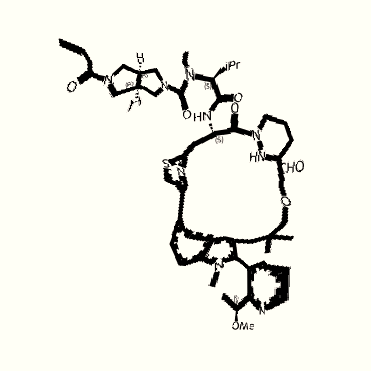 C=CC(=O)N1C[C@@H]2CN(C(=O)N(C)[C@H](C(=O)N[C@H]3Cc4nc(cs4)-c4ccc5c(c4)c(c(-c4cccnc4[C@H](C)OC)n5C)CC(C)(C)COCC4(C=O)CCCN(N4)C3=O)C(C)C)C[C@@H]2C1